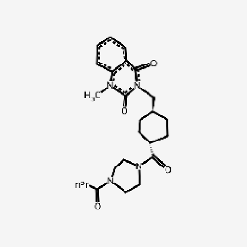 CCCC(=O)N1CCN(C(=O)[C@H]2CC[C@H](Cn3c(=O)c4ccccc4n(C)c3=O)CC2)CC1